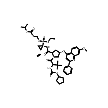 C=C[C@@H]1C[C@]1(NC(=O)C1C[C@@H](Oc2cc(-c3ccccc3)nc3cc(OC)ccc23)CN1C(=O)C(NC(=O)OC1CCCC1)C(C)(C)C)P(=O)(OCC)OCOC(=O)OC(C)C